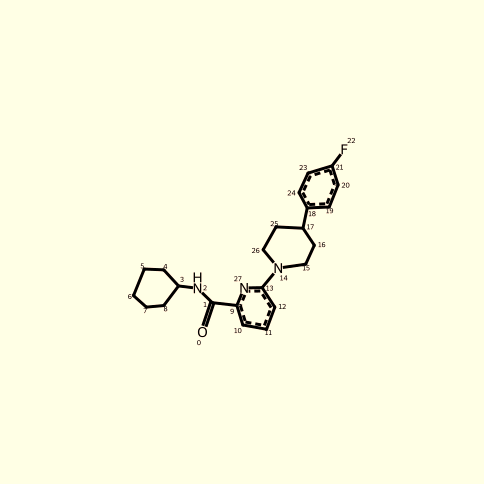 O=C(NC1CCCCC1)c1cccc(N2CCC(c3ccc(F)cc3)CC2)n1